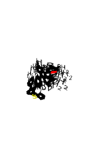 Bc1c(B)c(B)c(-c2c3c(B)c(B)c(B)c(B)c3c(-c3ccc(-c4c(-c5ccccc5)ccc5sc6ccccc6c45)cc3)c3c(B)c(B)c(B)c(B)c23)c(B)c1B